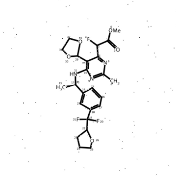 COC(=O)C(F)c1nc(C)nc(N[C@H](C)c2cccc(C(F)(F)C3CCCO3)c2)c1C1OCCO1